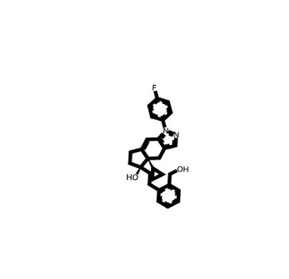 OCc1ccccc1CC[C@]1(O)CCC2=Cc3c(cnn3-c3ccc(F)cc3)C[C@@]21C1CC1